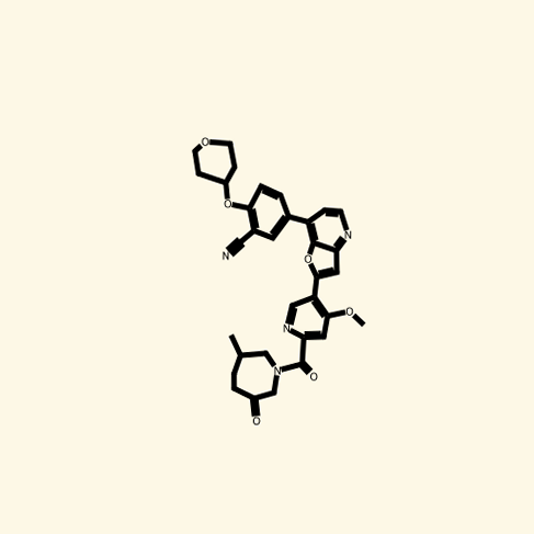 COc1cc(C(=O)N2CC(=O)CCC(C)C2)ncc1-c1cc2nccc(-c3ccc(OC4CCOCC4)c(C#N)c3)c2o1